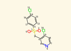 O=S(=O)(Cc1cnccc1Cl)c1ccc(Cl)cc1